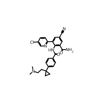 CN(C)CCC1(c2ccc(C(=O)Nc3c(C(N)=O)cc(C#N)cc3-c3ccc(Cl)cn3)cc2)CC1